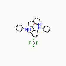 C(Nc1ccccc1)=c1cccc([NH+](c2ccccc2)c2ccccc2)c1=C1CCCC1.F[B-](F)(F)F